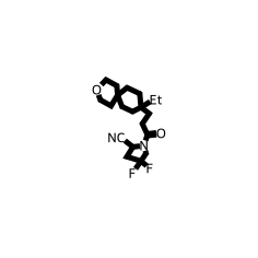 CCC1(CCC(=O)N2CC(F)(F)CC2C#N)CCC2(CCOCC2)CC1